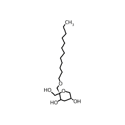 CCCCCCCCCCCCOC[C@@]1(CO)OC[C@@H](O)CC1O